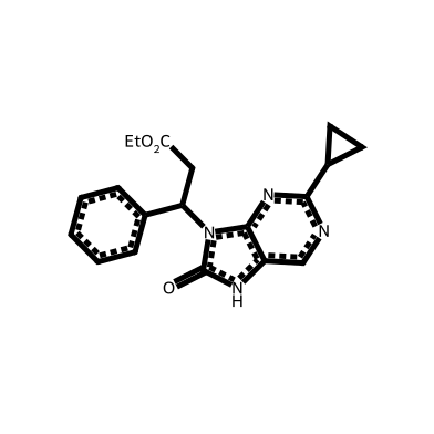 CCOC(=O)CC(c1ccccc1)n1c(=O)[nH]c2cnc(C3CC3)nc21